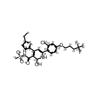 CCc1ccc(C2=C(C(=O)NS(C)(=O)=O)C(O)NC(c3ccc(OCCCC(F)(F)F)cc3Cl)=C2)s1